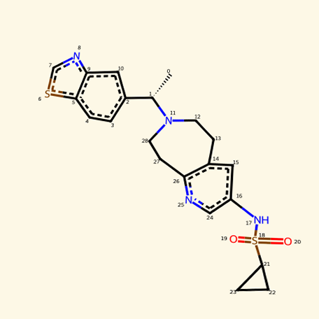 C[C@@H](c1ccc2scnc2c1)N1CCc2cc(NS(=O)(=O)C3CC3)cnc2CC1